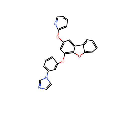 c1ccc(Oc2cc(Oc3cccc(-n4ccnc4)c3)c3oc4ccccc4c3c2)nc1